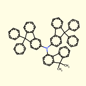 CC1(C)c2ccccc2-c2c(N(c3ccc4c(c3)-c3ccccc3C4(c3ccccc3)c3ccccc3)c3ccc4c(c3)-c3ccccc3C4(c3ccccc3)c3ccccc3)cccc21